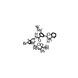 CCNC(=O)[C@@H](NC(=O)[C@H](C)NC[C@H](Cc1ccc(Br)s1)NC(=O)c1cc(C(=O)N[C@H](C)c2ccccc2)cc(N(C)SN(C)C)c1)C(C)C